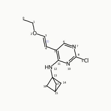 CCO/C=C/c1cnc(Cl)nc1NC12CC(C1)C2